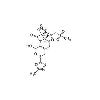 CO[C@@]1(NC(=O)CS(C)(=O)=O)C(=O)N2C(C(=O)O)=C(CSc3nnc(C)o3)CS[C@H]21